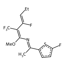 CC/C=C(F)/C(=C(\N=C(/C)c1ccc(F)s1)OC)C(F)(F)F